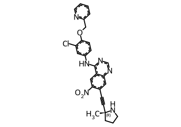 C[C@]1(C#Cc2cc3ncnc(Nc4ccc(OCc5ccccn5)c(Cl)c4)c3cc2[N+](=O)[O-])CCCN1